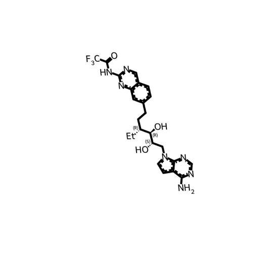 CC[C@H](CCc1ccc2cnc(NC(=O)C(F)(F)F)nc2c1)[C@@H](O)[C@@H](O)Cn1ccc2c(N)ncnc21